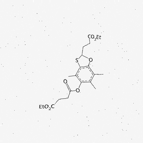 CCOC(=O)CCC(=O)Oc1c(C)c(C)c2c(c1C)SC(CCC(=O)OCC)O2